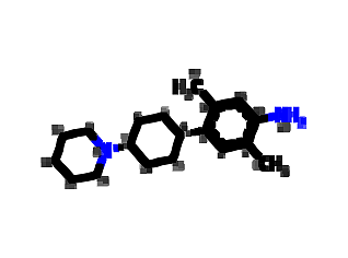 Cc1cc([C@H]2CC[C@@H](N3CCCCC3)CC2)c(C)cc1N